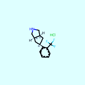 Cl.FC(F)(F)c1ccccc1[C@H]1C[C@H]2CNC[C@H]2C1